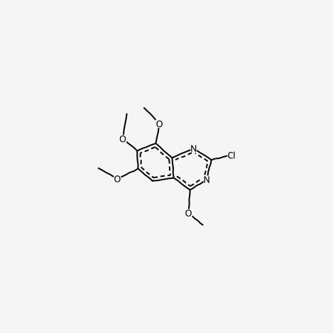 COc1cc2c(OC)nc(Cl)nc2c(OC)c1OC